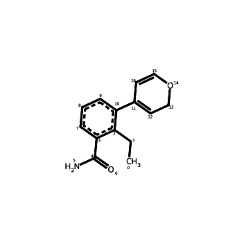 CCc1c(C(N)=O)cccc1C1=CCOC=C1